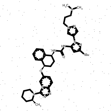 C[C@H]1CCCCN1c1nnc2ccc(O[C@@H]3CC[C@H](NC(=O)Nc4cc(C(C)(C)C)nn4-c4cnn(CCCN(C)C)c4)c4ccccc43)cn12